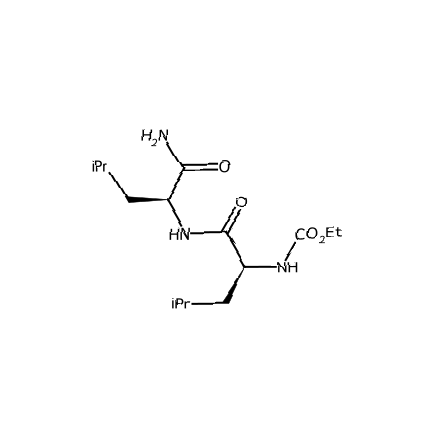 CCOC(=O)N[C@@H](CC(C)C)C(=O)N[C@@H](CC(C)C)C(N)=O